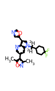 [2H]C([2H])(C1CCC(F)(F)CC1)n1cc(-c2cnco2)c2ncc(-c3c(C)noc3C)cc21